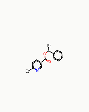 CCc1ccc(C(=O)OC(CC)c2ccccc2)cn1